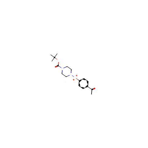 CC(=O)c1ccc(S(=O)(=O)N2CCN(C(=O)OC(C)(C)C)C[C@H]2C)cc1